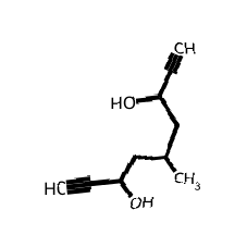 C#CC(O)CC(C)CC(O)C#C